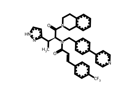 CC(c1cc[nH]n1)[C@@H](C(=O)N1CCc2ccccc2C1)N(Cc1ccc(-c2ccncc2)cc1)C(=O)C=Cc1ccc(C(F)(F)F)cc1